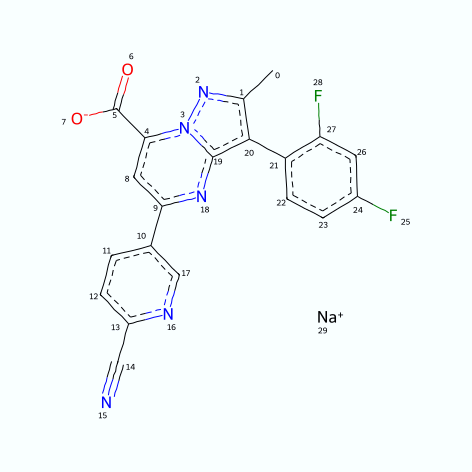 Cc1nn2c(C(=O)[O-])cc(-c3ccc(C#N)nc3)nc2c1-c1ccc(F)cc1F.[Na+]